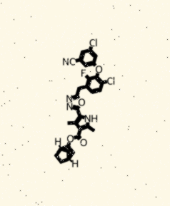 Cc1[nH]c(-c2nnc(Cc3ccc(Cl)c(Oc4cc(Cl)cc(C#N)c4)c3F)o2)c(C)c1C(=O)OC1C[C@@H]2CC[C@H]1C2